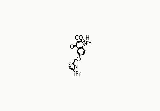 CCn1c(C(=O)O)cc(=O)c2cc(OCc3nc(C(C)C)cs3)ccc21